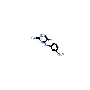 C=C(/N=C(Nc1cccc(C(=O)OCC)c1)\C(Cl)=C/N)NC